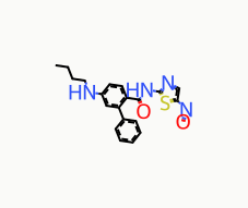 CCCCNc1ccc(C(=O)Nc2ncc(N=O)s2)c(-c2ccccc2)c1